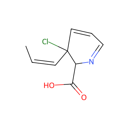 C/C=C\C1(Cl)C=CC=NC1C(=O)O